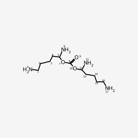 NCCCCC(N)OC(=O)OC(N)CCCCN